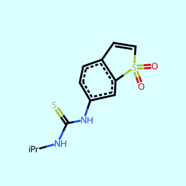 CC(C)NC(=S)Nc1ccc2c(c1)S(=O)(=O)C=C2